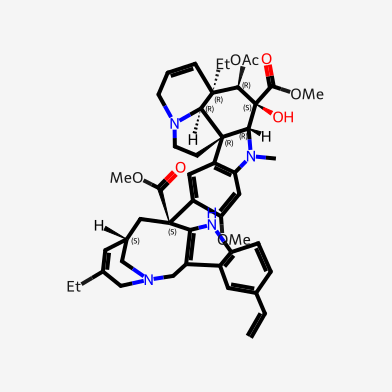 C=Cc1ccc2[nH]c3c(c2c1)CN1CC(CC)=C[C@@H](C1)C[C@]3(C(=O)OC)c1cc2c(cc1OC)N(C)[C@H]1[C@@](O)(C(=O)OC)[C@H](OC(C)=O)[C@]3(CC)C=CCN4CC[C@]21[C@@H]43